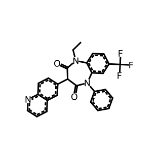 CCN1C(=O)C(c2ccc3ncccc3c2)C(=O)N(c2ccccc2)c2cc(C(F)(F)F)ccc21